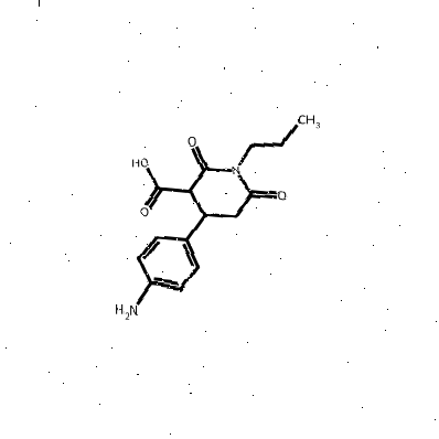 CCCN1C(=O)CC(c2ccc(N)cc2)C(C(=O)O)C1=O